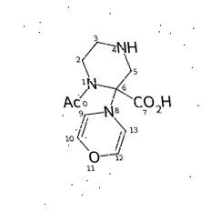 CC(=O)N1CCNCC1(C(=O)O)N1C=COC=C1